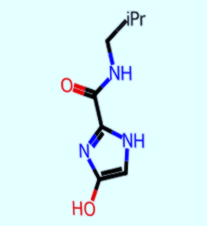 CC(C)CNC(=O)c1nc(O)c[nH]1